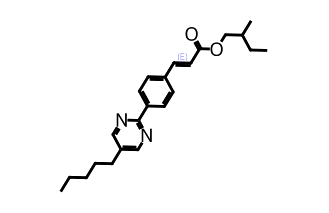 CCCCCc1cnc(-c2ccc(/C=C/C(=O)OCC(C)CC)cc2)nc1